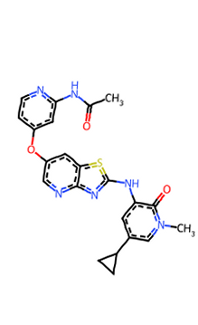 CC(=O)Nc1cc(Oc2cnc3nc(Nc4cc(C5CC5)cn(C)c4=O)sc3c2)ccn1